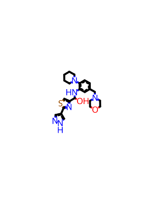 OC(Nc1cc(CN2CCOCC2)ccc1N1CCCCC1)c1csc(-c2cn[nH]c2)n1